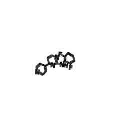 Fc1cccc(F)c1Nc1nccc(-c2ccncc2)n1